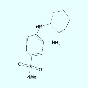 CNS(=O)(=O)c1ccc(NC2CCCCC2)c(N)c1